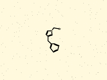 BrCn1ccc(Cc2ccccc2)c1